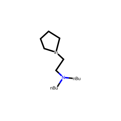 CCCCN(CCCC)C[CH2][In]1[CH2]CC[CH2]1